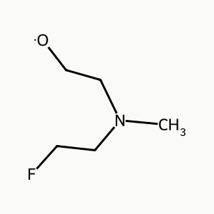 CN(CC[O])CCF